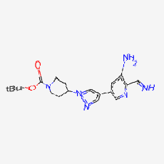 CC(C)(C)OC(=O)N1CCC(n2cc(-c3cnc(C=N)c(N)c3)cn2)CC1